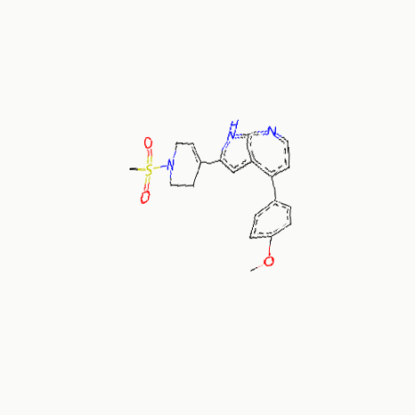 COc1ccc(-c2ccnc3[nH]c(C4=CCN(S(C)(=O)=O)CC4)cc23)cc1